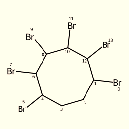 BrC1CCC(Br)C(Br)C(Br)C(Br)C1Br